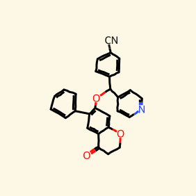 N#Cc1ccc(C(Oc2cc3c(cc2-c2ccccc2)C(=O)CCO3)c2ccncc2)cc1